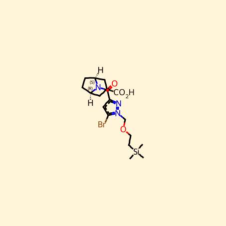 C[Si](C)(C)CCOCn1nc(C(=O)N2[C@@H]3CC[C@H]2CC(C(=O)O)C3)cc1Br